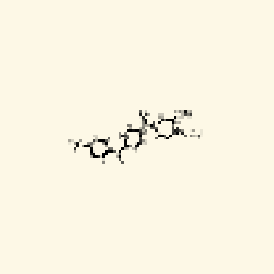 CC(c1ccc(C(F)(F)F)cc1)c1ccc(C(=O)N2CCN(C(=O)O)C(C(C)(C)C)C2)cn1